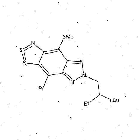 CCCCC(CC)Cn1nc2c(SC)c3c(c(C(C)C)c2n1)N=S=N3